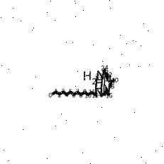 CCCCCCCCCCCCCNCC(C)NCC(C)NCC(C)N